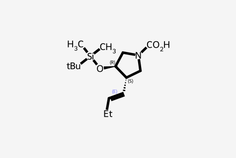 CC/C=C/[C@H]1CN(C(=O)O)C[C@@H]1O[Si](C)(C)C(C)(C)C